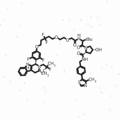 Cc1ncsc1-c1ccc(CNC(=O)[C@@H]2C[C@@H](O)CN2C(=O)C(NC(=O)COCCOCCC(F)(F)CCOc2cc(F)c([C@@H]3c4[nH]c5ccccc5c4C[C@@H](C)N3CC(C)(C)F)c(F)c2)C(C)(C)C)cc1